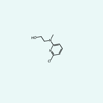 CN(CCO)c1cc[c]c(Cl)n1